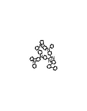 c1ccc(-c2ccccc2-c2cccc3nc(-c4ccc(N(c5ccccc5)c5ccc6c(c5)c5ccccc5n6-c5ccccc5)cc4)c(-c4ccc(N(c5ccccc5)c5ccc6c(c5)c5ccccc5n6-c5ccccc5)cc4)nc23)cc1